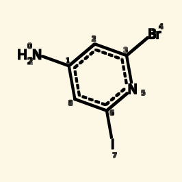 Nc1cc(Br)nc(I)c1